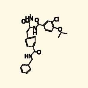 CNC(=O)[C@H](Cc1ccc(C(=O)NCc2ccccc2)cc1)NC(=O)c1ccc(OC(C)C)c(Cl)c1